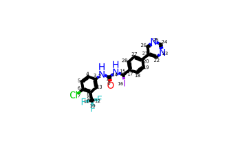 O=C(Nc1ccc(Cl)c(C(F)(F)F)c1)NC(I)c1ccc(-c2cncnc2)cc1